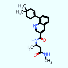 CNC(=O)C[C@@H](C)NC(=O)c1cnc2c(C3=CCC(C)(C)CC3)cccc2c1